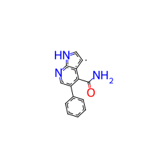 NC(=O)c1c(-c2ccccc2)cnc2[nH]c[c]c12